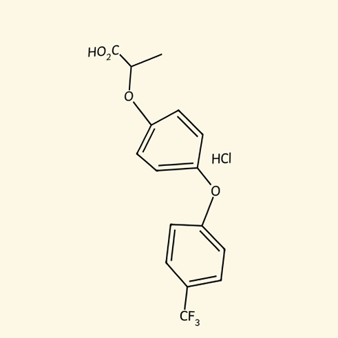 CC(Oc1ccc(Oc2ccc(C(F)(F)F)cc2)cc1)C(=O)O.Cl